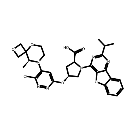 CC(C)c1nc(N2C[C@@H](Oc3cc(N4CCOC5(COC5)[C@@H]4C)c(Cl)nn3)C[C@H]2C(=O)O)c2oc3ccccc3c2n1